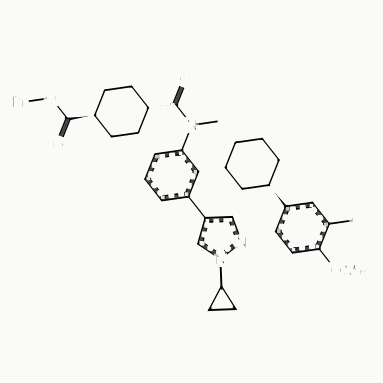 CCCOC(=O)[C@H]1CC[C@H](C(=O)N(C[C@H]2CC[C@H](c3ccc(OC)c(C)c3)CC2)c2cccc(-c3cnn(C4CC4)c3)c2)CC1